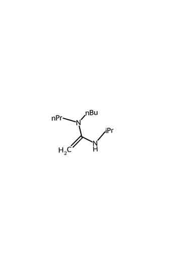 C=C(NC(C)C)N(CCC)CCCC